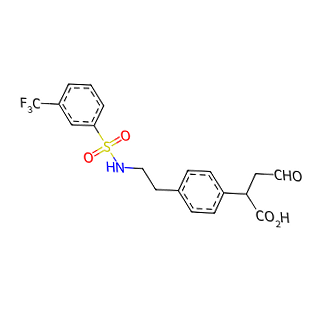 O=CCC(C(=O)O)c1ccc(CCNS(=O)(=O)c2cccc(C(F)(F)F)c2)cc1